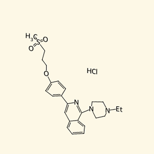 CCN1CCN(c2nc(-c3ccc(OCCCS(C)(=O)=O)cc3)cc3ccccc23)CC1.Cl